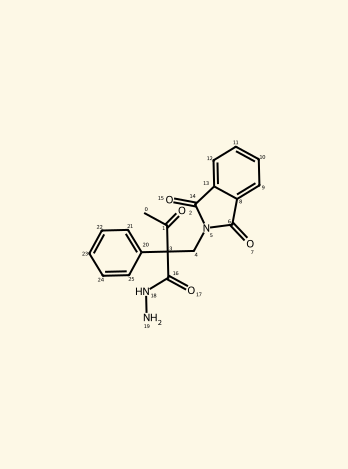 CC(=O)C(CN1C(=O)c2ccccc2C1=O)(C(=O)NN)c1ccccc1